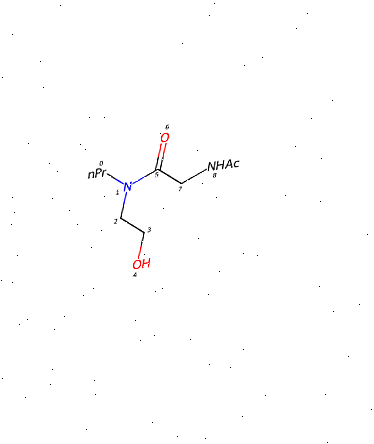 CCCN(CCO)C(=O)CNC(C)=O